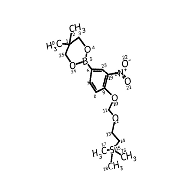 CC1(C)COB(c2ccc(OCOCC[Si](C)(C)C)c([N+](=O)[O-])c2)OC1